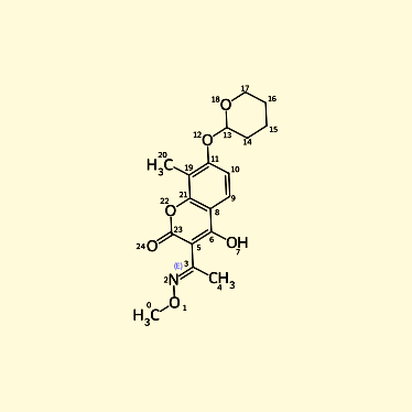 CO/N=C(\C)c1c(O)c2ccc(OC3CCCCO3)c(C)c2oc1=O